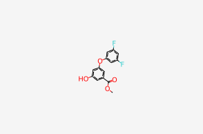 COC(=O)c1cc(O)cc(Oc2cc(F)cc(F)c2)c1